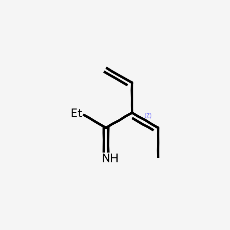 C=C/C(=C/C)C(=N)CC